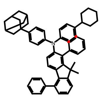 CC1(C)c2cccc(-c3ccccc3)c2-c2ccc(N(c3ccc(C4CCCCC4)cc3)c3ccc(C45CC6CC(CC(C6)C4)C5)cc3)c(-c3ccccc3)c21